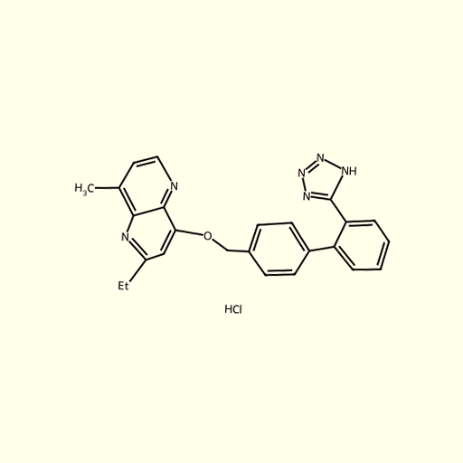 CCc1cc(OCc2ccc(-c3ccccc3-c3nnn[nH]3)cc2)c2nccc(C)c2n1.Cl